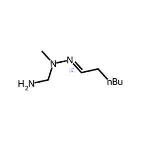 CCCCC/C=N/N(C)CN